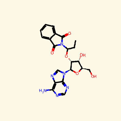 CCC(O[C@@H]1[C@H](O)[C@@H](CO)O[C@H]1n1cnc2c(N)ncnc21)N1C(=O)c2ccccc2C1=O